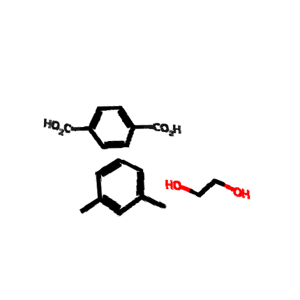 Cc1cccc(C)c1.O=C(O)c1ccc(C(=O)O)cc1.OCCO